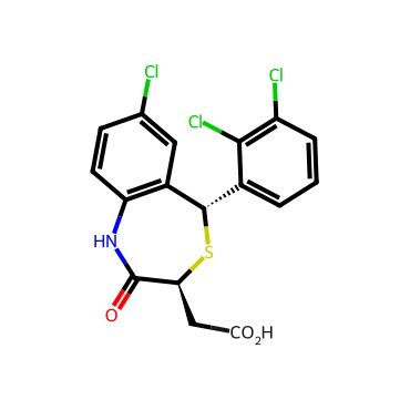 O=C(O)C[C@@H]1S[C@@H](c2cccc(Cl)c2Cl)c2cc(Cl)ccc2NC1=O